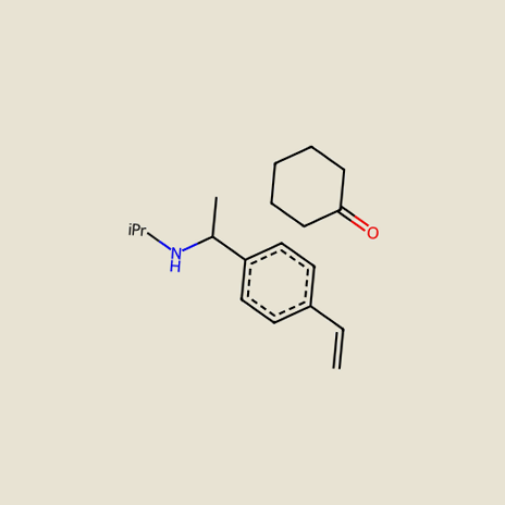 C=Cc1ccc(C(C)NC(C)C)cc1.O=C1CCCCC1